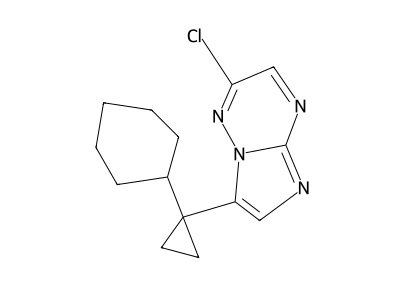 Clc1cnc2ncc(C3(C4CCCCC4)CC3)n2n1